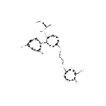 N/N=C(\N(N)c1cnc(NCCNc2ccc([N+](=O)[O-])c(N)n2)nc1-c1ccc(Cl)cc1Cl)C(F)(F)F